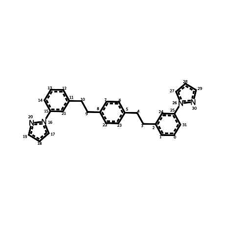 c1cc(CCc2ccc(CCc3cccc(-n4cccn4)c3)cc2)cc(-n2cccn2)c1